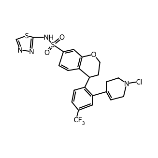 O=S(=O)(Nc1nncs1)c1ccc2c(c1)OCCC2c1ccc(C(F)(F)F)cc1C1=CCN(Cl)CC1